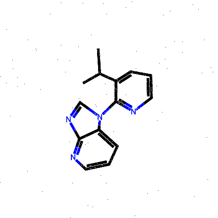 CC(C)c1cccnc1-n1cnc2ncccc21